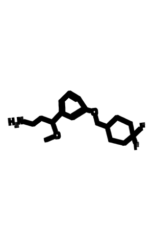 COC(CCN)c1cccc(OCC2CCC(F)(F)CC2)c1